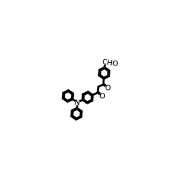 O=Cc1ccc(C(=O)CC(=O)c2ccc(N(c3ccccc3)c3ccccc3)cc2)cc1